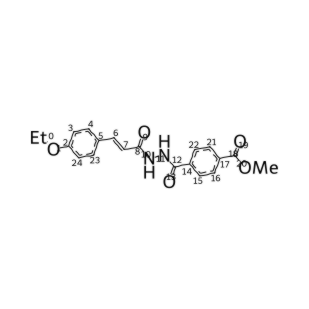 CCOc1ccc(/C=C/C(=O)NNC(=O)c2ccc(C(=O)OC)cc2)cc1